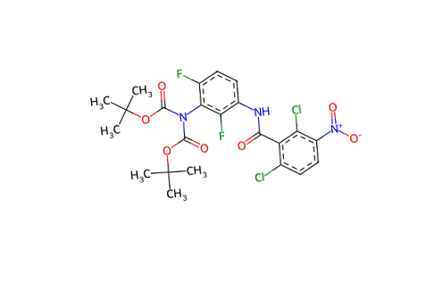 CC(C)(C)OC(=O)N(C(=O)OC(C)(C)C)c1c(F)ccc(NC(=O)c2c(Cl)ccc([N+](=O)[O-])c2Cl)c1F